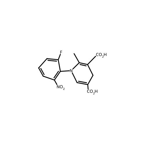 CC1=C(C(=O)O)CC(C(=O)O)=CN1c1c(F)cccc1[N+](=O)[O-]